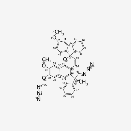 COc1ccc(C2(c3ccccc3)C=Cc3c4c(c5cc(OCN=[N+]=[N-])c(OC)cc5c3O2)-c2ccccc2C4(C)CN=[N+]=[N-])cc1